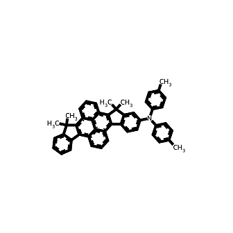 Cc1ccc(N(c2ccc(C)cc2)c2ccc3c(c2)C(C)(C)c2c-3c3cccc4c5c(c6cccc2c6c43)C(C)(C)c2ccccc2-5)cc1